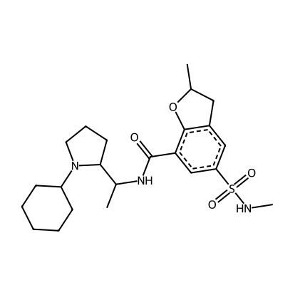 CNS(=O)(=O)c1cc2c(c(C(=O)NC(C)C3CCCN3C3CCCCC3)c1)OC(C)C2